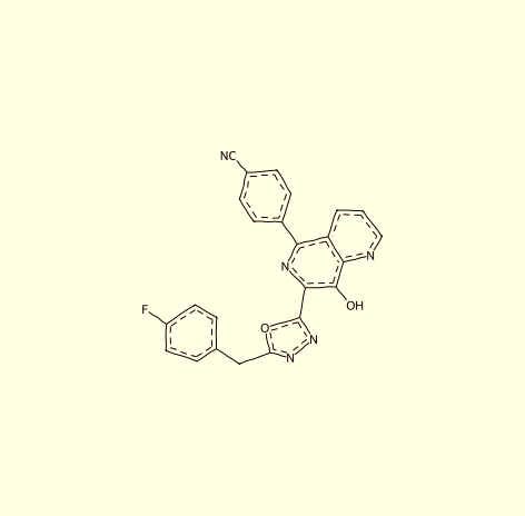 N#Cc1ccc(-c2nc(-c3nnc(Cc4ccc(F)cc4)o3)c(O)c3ncccc23)cc1